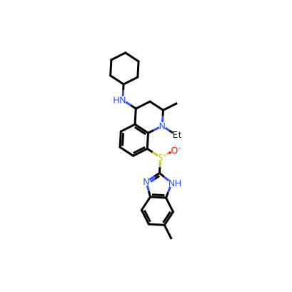 CCN1c2c(cccc2[S+]([O-])c2nc3ccc(C)cc3[nH]2)C(NC2CCCCC2)CC1C